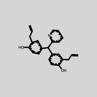 C=CCc1cc(C(c2ccc(O)c(CC=C)c2)c2ccccn2)ccc1O